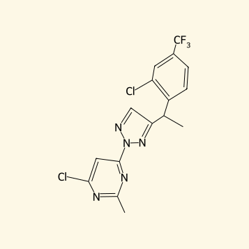 Cc1nc(Cl)cc(-n2ncc(C(C)c3ccc(C(F)(F)F)cc3Cl)n2)n1